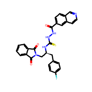 O=C(NNC(=S)N[C@@H](Cc1ccc(F)cc1)CN1C(=O)c2ccccc2C1=O)c1ccc2cnccc2c1